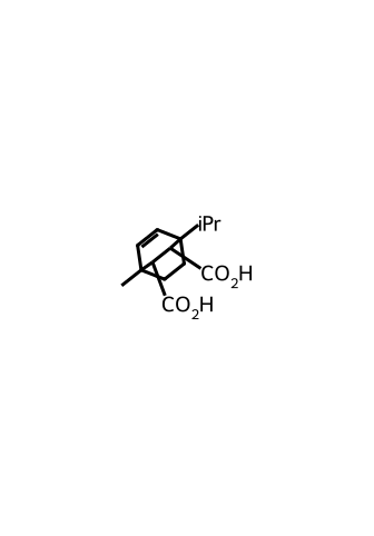 CC(C)C12C=CC(C)(CC1)C(C(=O)O)C2C(=O)O